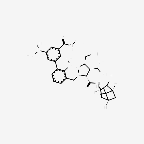 CNC(=O)c1cc(-c2cccc(CN3O[C@@H](CO)[C@@H]([C@H](C)O)[C@H]3C(=O)N[C@H]3C[C@H]4C[C@@H]([C@@H]3C)C4(C)C)c2OC)cc(N(C)C)c1